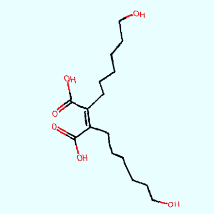 O=C(O)/C(CCCCCCO)=C(/CCCCCCO)C(=O)O